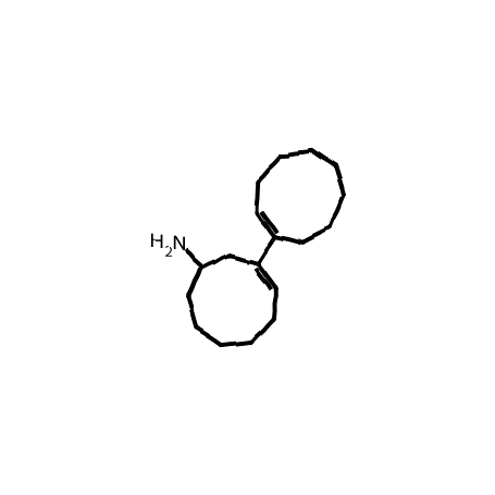 NC1CCCCCC=C(C2=CCCCCCCC2)C1